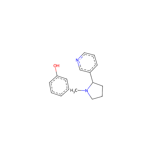 CN1CCCC1c1cccnc1.Oc1ccccc1